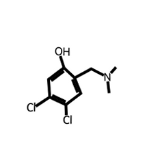 CN(C)Cc1cc(Cl)c(Cl)cc1O